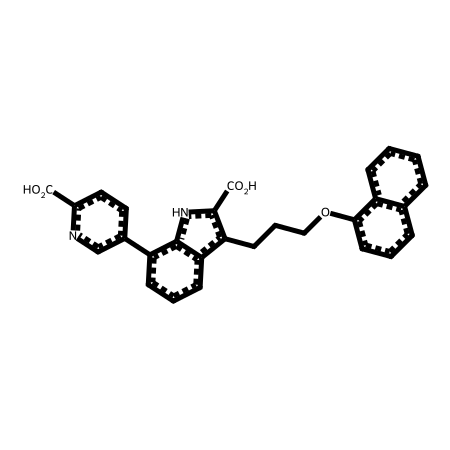 O=C(O)c1ccc(-c2cccc3c(CCCOc4cccc5ccccc45)c(C(=O)O)[nH]c23)cn1